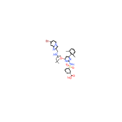 Cc1cccc(C)c1-c1cc(OC[C@@H](CC(C)(C)C)NCc2cn3ccc(Br)cc3n2)nc(NS(=O)(=O)c2cccc(C(=O)O)c2)n1